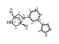 c1cc(-c2cncc(N3C[C@@H]4C[C@H]3CN4)c2)cs1